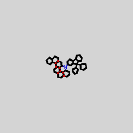 c1ccc(-c2ccccc2N(c2ccc3c(c2)C(c2ccccc2)(c2ccccc2)c2ccccc2-3)c2ccccc2-c2cccc(-c3cccc4ccccc34)c2)cc1